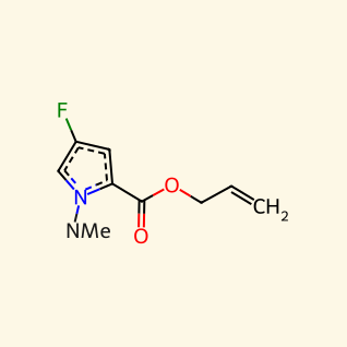 C=CCOC(=O)c1cc(F)cn1NC